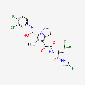 Cc1c(C(=O)C(=O)NC2(C(=O)N3CC(F)C3)CC(F)(F)C2)c2n(c1C(O)Nc1ccc(F)c(Cl)c1)CCC2